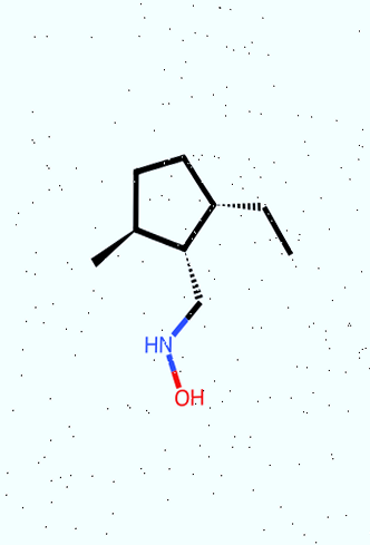 CC[C@H]1CC[C@H](C)[C@H]1CNO